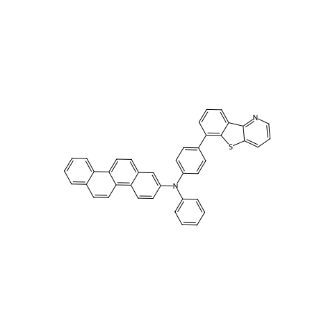 c1ccc(N(c2ccc(-c3cccc4c3sc3cccnc34)cc2)c2ccc3c(ccc4c5ccccc5ccc34)c2)cc1